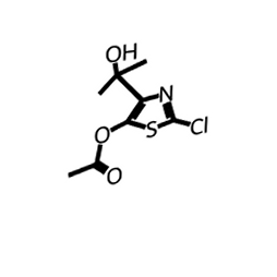 CC(=O)Oc1sc(Cl)nc1C(C)(C)O